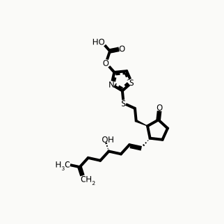 C=C(C)CC[C@H](O)C/C=C/[C@H]1CCC(=O)[C@@H]1CCSc1nc(OC(=O)O)cs1